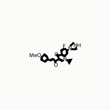 COc1ccc(C=CC(=O)c2cn(C3CC3)c3cc(N4CCNCC4)c(F)cc3c2=O)cc1